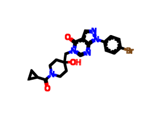 O=C(C1CC1)N1CCC(O)(Cn2cnc3c(cnn3-c3ccc(Br)cc3)c2=O)CC1